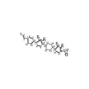 C/C=C/c1ccc(-c2ccc(C3CCC(c4ccc(C5CO5)c(F)c4F)CC3)c(F)c2F)cc1